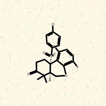 CC1(C)C(=O)CC[C@@]2(S(=O)(=O)c3ccc(Cl)cc3)c3c(F)ccc(F)c3OC[C@@H]12